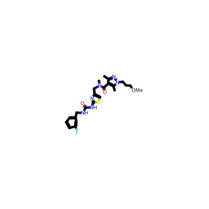 COCCCn1nc(C)c(C(=O)N(C)Cc2csc(NC(=O)NCc3cccc(F)c3)n2)c1C